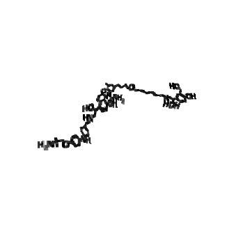 Cc1cc(CCCCOCCCCCCNCC(O)c2ccc(O)c(CO)c2)cc(N(C(N)=O)n2c(=O)ccc3c(C(O)CNCCc4ccc(Nc5ccc(OCC(C)(C)N)cc5)cc4)ccc(O)c32)c1